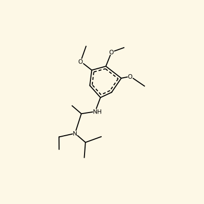 CCN(C(C)C)C(C)Nc1cc(OC)c(OC)c(OC)c1